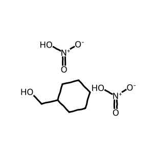 O=[N+]([O-])O.O=[N+]([O-])O.OCC1CCCCC1